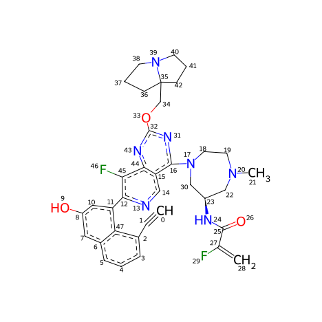 C#Cc1cccc2cc(O)cc(-c3ncc4c(N5CCN(C)C[C@@H](NC(=O)C(=C)F)C5)nc(OCC56CCCN5CCC6)nc4c3F)c12